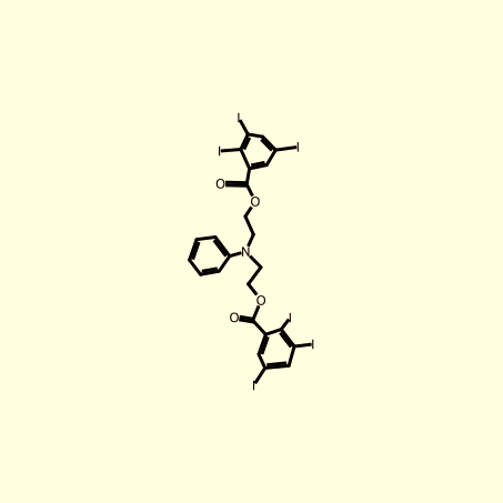 O=C(OCCN(CCOC(=O)c1cc(I)cc(I)c1I)c1ccccc1)c1cc(I)cc(I)c1I